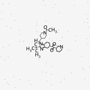 CC(=O)N1CCC(Cn2c(C(C)(C)C)nc3cc(S(=O)(=O)c4cccnc4)ccc32)CC1